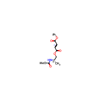 COC(=O)N[C@@H](C)COC(=O)/C=C/C(=O)OC(C)C